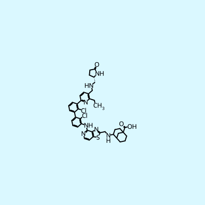 CCc1nc(-c2cccc(-c3cccc(Nc4nccc5sc(CNC6CCC7(C(=O)O)CCCC6C7)nc45)c3Cl)c2Cl)ccc1CNC[C@@H]1CCC(=O)N1